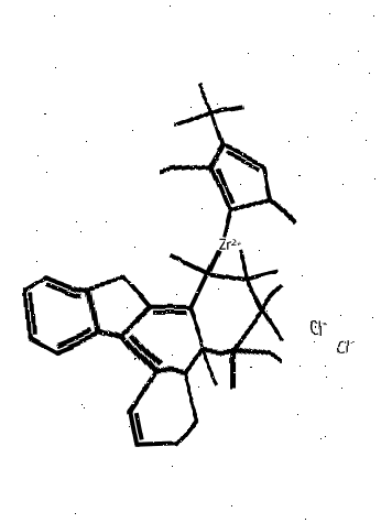 CC1=[C]([Zr+2][C]2(C)C3=C4Cc5ccccc5C4=C4C=CCCC4C3(C)C(C)(C)C(C)(C)C2(C)C)C(C)C=C1C(C)(C)C.[Cl-].[Cl-]